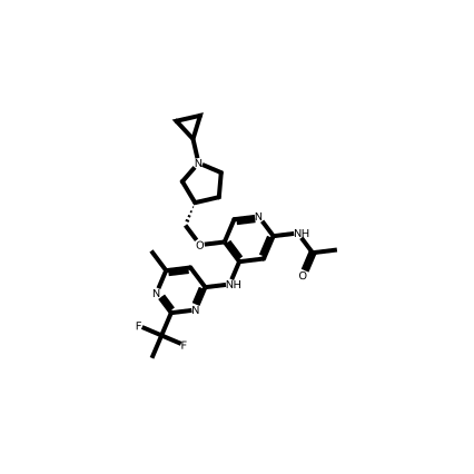 CC(=O)Nc1cc(Nc2cc(C)nc(C(C)(F)F)n2)c(OC[C@H]2CCN(C3CC3)C2)cn1